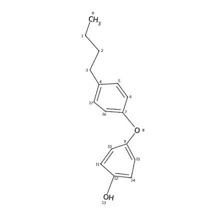 CCCCc1ccc(Oc2ccc(O)cc2)cc1